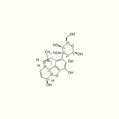 CN1CC[C@]23c4c5c([C@@]6(O)[C@@H](O)[C@H](O)O[C@H](CO)[C@@H]6O)cc(O)c4O[C@H]2[C@@H](O)C=C[C@H]3[C@H]1C5